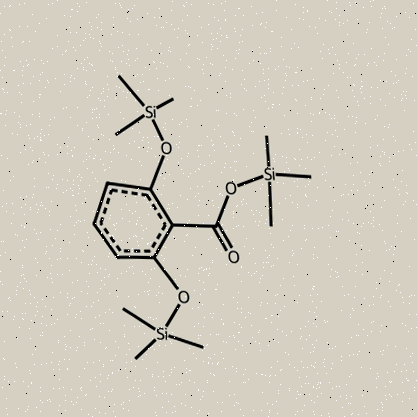 C[Si](C)(C)OC(=O)c1c(O[Si](C)(C)C)cccc1O[Si](C)(C)C